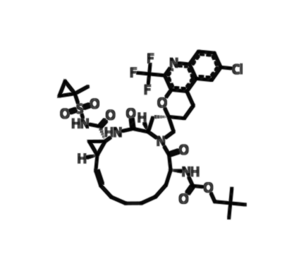 CC(C)(C)COC(=O)N[C@H]1CCCCC/C=C\[C@@H]2C[C@@]2(C(=O)NS(=O)(=O)C2(C)CC2)NC(=O)[C@@H]2C[C@]3(CCc4c(c(C(F)(F)F)nc5ccc(Cl)cc45)O3)CN2C1=O